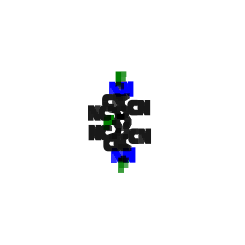 N#CC(C#N)=C1C(c2cnc(F)nc2)=C(C#N)c2cc3c(c(F)c21)C(=C(C#N)C#N)C(c1cnc(F)nc1)=C3C#N